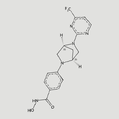 O=C(NO)c1ccc(N2C[C@@H]3C[C@H]2CN3c2nccc(C(F)(F)F)n2)cc1